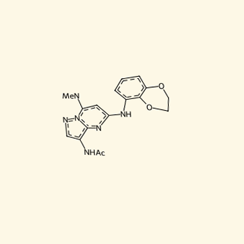 CNc1cc(Nc2cccc3c2OCCO3)nc2c(NC(C)=O)cnn12